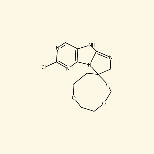 Clc1ncc2c(n1)N1C(=NCC13CCOCCOCC3)N2